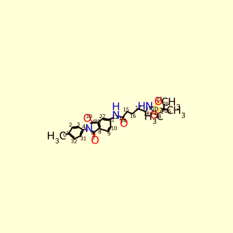 Cc1ccc(N2C(=O)c3ccc(NC(=O)CCCCNS(=O)(=O)C(C)(C)C)cc3C2=O)cc1